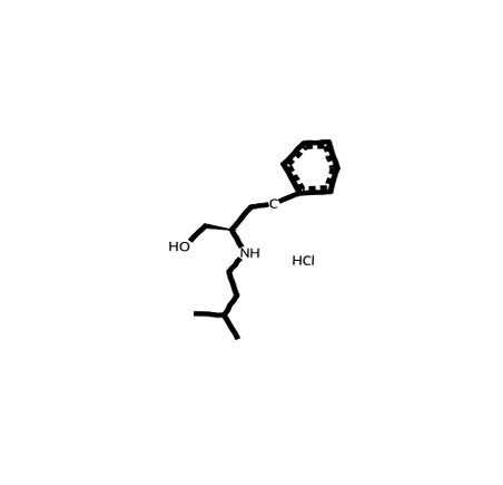 CC(C)CCN[C@@H](CO)CCc1ccccc1.Cl